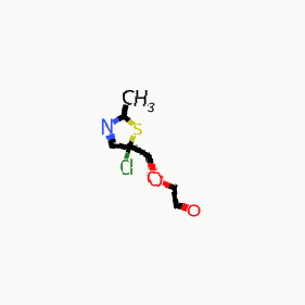 CC1N=CC(Cl)(COCC=O)S1